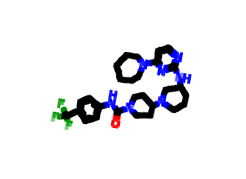 O=C(Nc1ccc(C(F)(F)F)cc1)N1CCC(N2CCCC(Nc3nccc(N4CCCCCC4)n3)C2)CC1